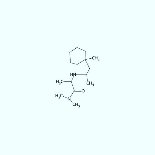 CC(CC1(C)CCCCC1)NC(C)C(=O)N(C)C